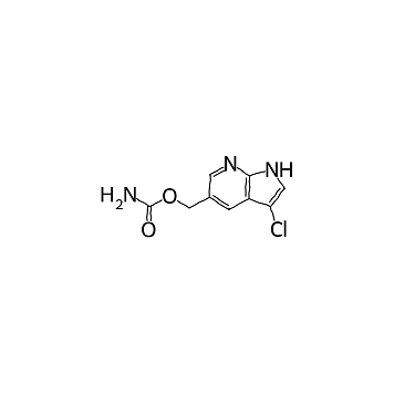 NC(=O)OCc1cnc2[nH]cc(Cl)c2c1